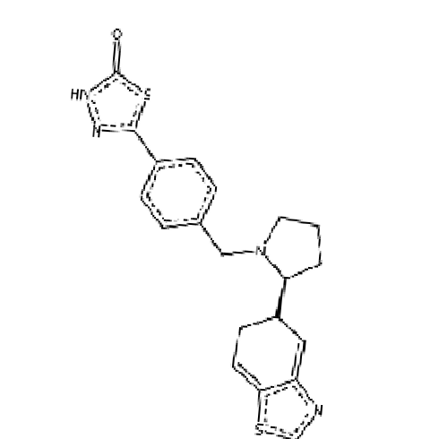 O=c1[nH]nc(-c2ccc(CN3CCC[C@H]3C3C=c4ncsc4=CC3)cc2)s1